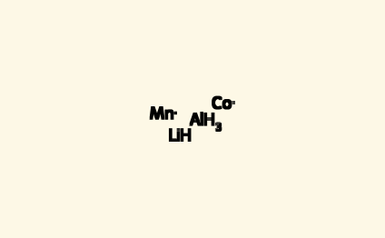 [AlH3].[Co].[LiH].[Mn]